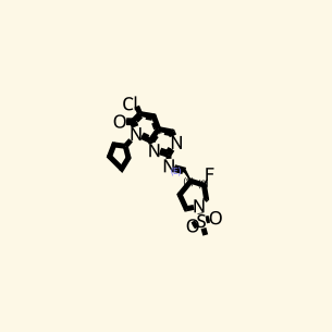 CS(=O)(=O)N1CC[C@@H](/C=N/c2ncc3cc(Cl)c(=O)n(C4CCCC4)c3n2)[C@H](F)C1